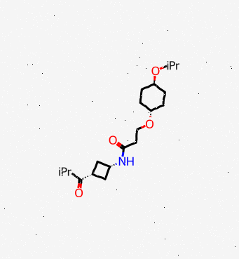 CC(C)O[C@H]1CC[C@H](OCCC(=O)N[C@H]2C[C@@H](C(=O)C(C)C)C2)CC1